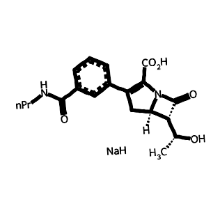 CCCNC(=O)c1cccc(C2=C(C(=O)O)N3C(=O)[C@H]([C@@H](C)O)[C@H]3C2)c1.[NaH]